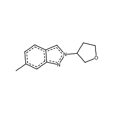 Cc1ccc2cn(C3CCOC3)nc2c1